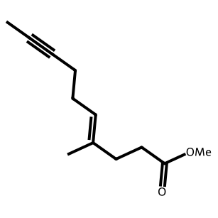 CC#CCCC=C(C)CCC(=O)OC